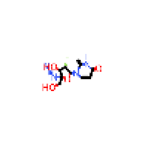 C=C1NC(=O)C=CN1C1OC(CO)(N=[N+]=[N-])C(O)C1F